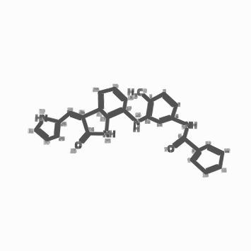 Cc1ccc(NC(=O)c2ccccc2)cc1Nc1cccc2c1NC(=O)/C2=C\c1ccc[nH]1